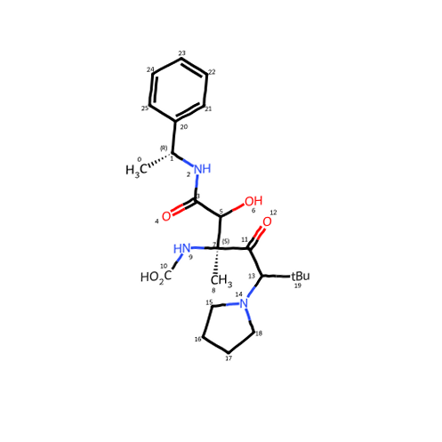 C[C@@H](NC(=O)C(O)[C@](C)(NC(=O)O)C(=O)C(N1CCCC1)C(C)(C)C)c1ccccc1